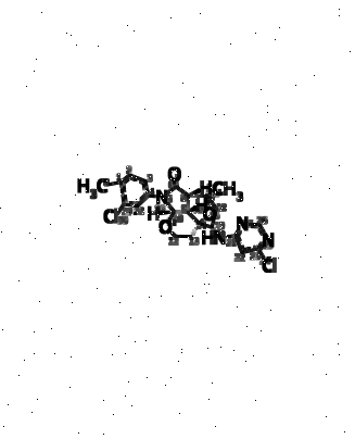 Cc1ccc(N2C(=O)[C@H]3[C@H]4[C@@H]2OCC[C@@]42O[C@]3(C)C[C@@H]2Nc2cc(Cl)ncn2)cc1Cl